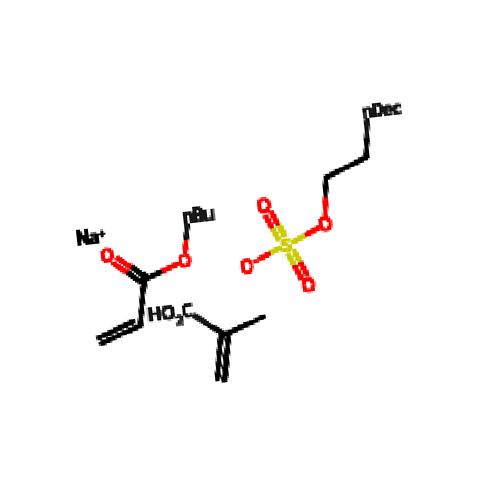 C=C(C)C(=O)O.C=CC(=O)OCCCC.CCCCCCCCCCCCOS(=O)(=O)[O-].[Na+]